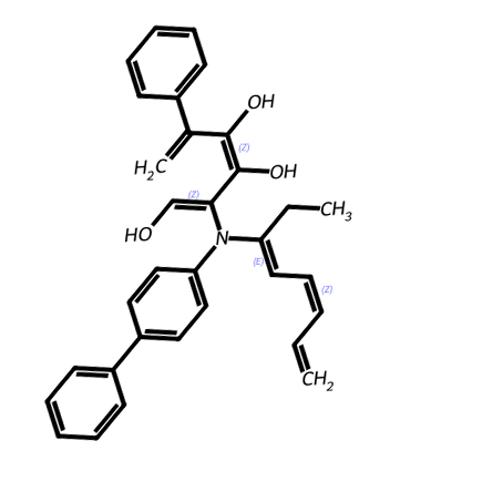 C=C/C=C\C=C(/CC)N(C(=C\O)/C(O)=C(/O)C(=C)c1ccccc1)c1ccc(-c2ccccc2)cc1